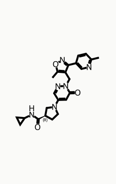 Cc1ccc(-c2noc(C)c2Cn2ncc(N3CC[C@@H](C(=O)NC4CC4)C3)cc2=O)cn1